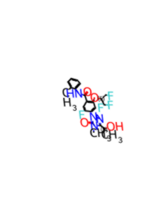 Cc1ccccc1NC(=O)c1cc(F)c(-n2nc([C@H](C)O)n(C)c2=O)cc1O[C@@H](CF)C(F)F